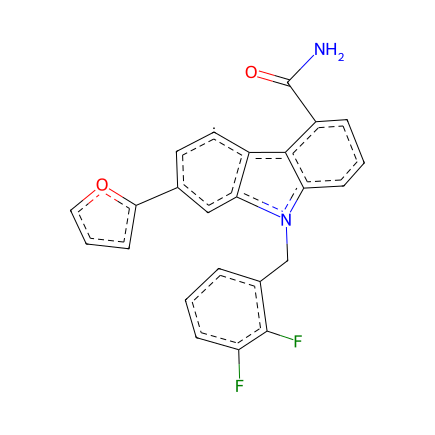 NC(=O)c1cccc2c1c1[c]cc(-c3ccco3)cc1n2Cc1cccc(F)c1F